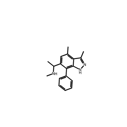 CNC(C)c1cc(C)c2c(C)n[nH]c2c1-c1ccccc1